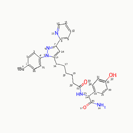 CC(C)(C)c1ccc(-n2nc(-c3ccccn3)cc2CCCCCC(=O)NC(C(N)=O)c2ccc(O)cc2)cc1